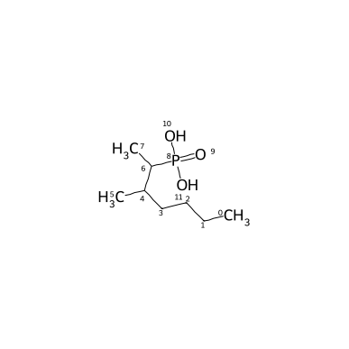 CCCCC(C)C(C)P(=O)(O)O